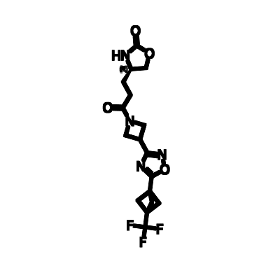 O=C1N[C@H](CCC(=O)N2CC(c3noc(C45CC(C(F)(F)F)(C4)C5)n3)C2)CO1